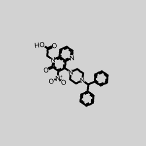 O=C(O)Cn1c(=O)c([N+](=O)[O-])c(N2CCN(C(c3ccccc3)c3ccccc3)CC2)c2ncccc21